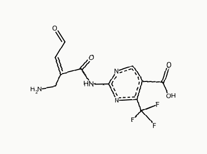 NC/C(=C/C=O)C(=O)Nc1ncc(C(=O)O)c(C(F)(F)F)n1